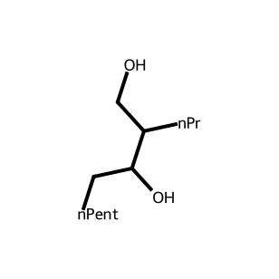 CCCCCCC(O)C(CO)CCC